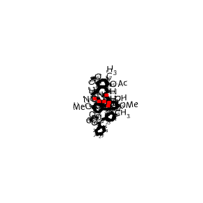 COc1cc2c(cc1OP(=O)(OCc1ccccc1)OCc1ccccc1)CCN[C@]21CS[C@@H]2c3c(OC(C)=O)c(C)c4c(c3[C@H](COC1=O)N1C2[C@@H]2c3c(cc(C)c(OC)c3O)CC([C@@H]1C#N)N2C)OCO4